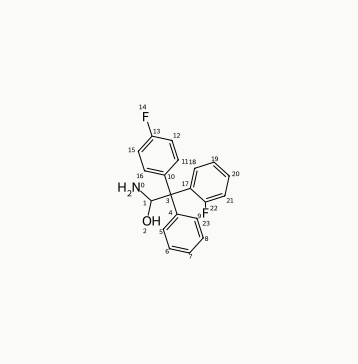 NC(O)C(c1ccccc1)(c1ccc(F)cc1)c1ccccc1F